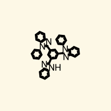 c1ccc(-n2c(-c3cc(-c4nc5ccccc5[nH]4)cc(-c4nc5ccccc5n4-c4ccccc4)c3)nc3ccccc32)cc1